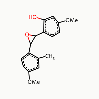 COc1ccc(C2OC2c2ccc(OC)cc2O)c(C)c1